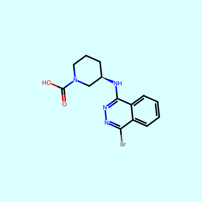 O=C(O)N1CCC[C@@H](Nc2nnc(Br)c3ccccc23)C1